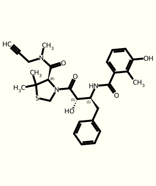 C#CCN(C)C(=O)[C@H]1N(C(=O)[C@@H](O)[C@H](Cc2ccccc2)NC(=O)c2cccc(O)c2C)CSC1(C)C